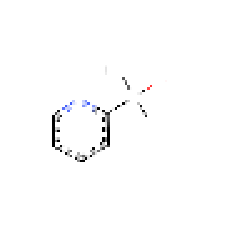 C[Si](C)(O)c1ccccn1